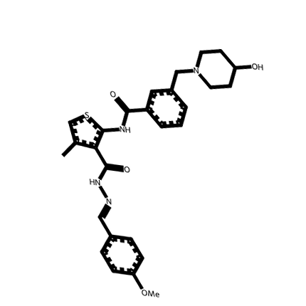 COc1ccc(/C=N/NC(=O)c2c(C)csc2NC(=O)c2cccc(CN3CCC(O)CC3)c2)cc1